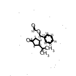 CC(C)C1CCC(=O)C1.O=COCc1ccccc1